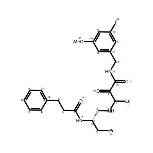 CCC(NC[C@H](CC(C)C)NC(=O)CCc1ccccc1)C(=O)C(=O)NCc1cc(F)cc(OC)c1